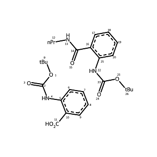 CC(C)(C)OC(=O)Nc1ccccc1C(=O)O.CCCNC(=O)c1ccccc1NC(=O)OC(C)(C)C